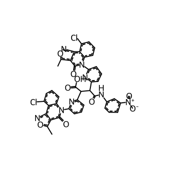 Cc1onc2c1c(=O)n(-c1cccc(C(C(=O)O)C(C(=O)Nc3cccc([N+](=O)[O-])c3)c3cccc(-n4c(=O)c5c(C)onc5c5c(Cl)cccc54)n3)n1)c1cccc(Cl)c21